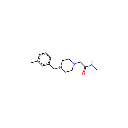 CNC(=O)CN1CCN(Cc2cccc(C)c2)CC1